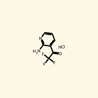 Cl.Nc1ncccc1C(=O)C(F)(F)F